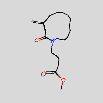 C=C1CCCCCN(CCC(=O)OC)C1=O